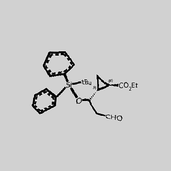 CCOC(=O)[C@@H]1C[C@H]1C(CC=O)O[Si](c1ccccc1)(c1ccccc1)C(C)(C)C